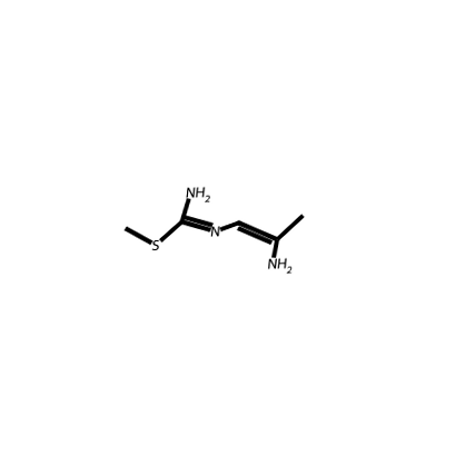 CS/C(N)=N/C=C(/C)N